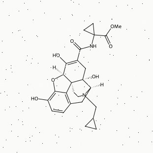 COC(=O)C1(NC(=O)C2=C(O)[C@@H]3Oc4c(O)ccc5c4[C@@]34CCN(CC3CC3)[C@H](C5)[C@]4(O)C2)CC1